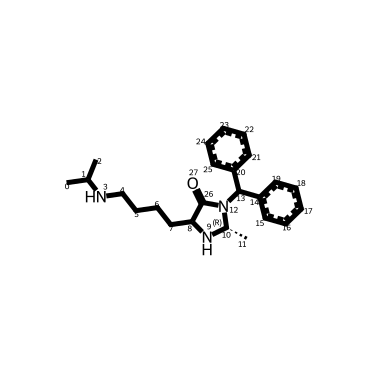 CC(C)NCCCCC1N[C@@H](C)N(C(c2ccccc2)c2ccccc2)C1=O